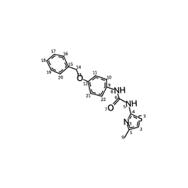 Cc1csc(NC(=O)Nc2ccc(OCc3ccccc3)cc2)n1